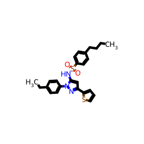 CCCCc1ccc(S(=O)(=O)Nc2cc(-c3cccs3)nn2-c2ccc(CC)cc2)cc1